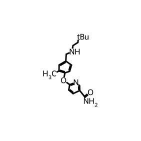 Cc1cc(CNCCC(C)(C)C)ccc1Oc1ccc(C(N)=O)cn1